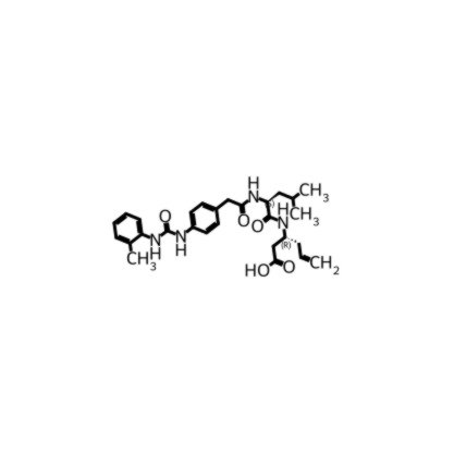 C=CC[C@H](CC(=O)O)NC(=O)[C@H](CC(C)C)NC(=O)Cc1ccc(NC(=O)Nc2ccccc2C)cc1